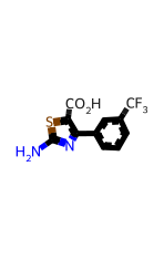 Nc1nc(-c2cccc(C(F)(F)F)c2)c(C(=O)O)s1